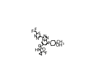 CC1(O)CCN(c2cc(S(=O)(=O)NC3(CF)CC3)cn3c(-c4nnc(C(F)F)s4)nnc23)CC1